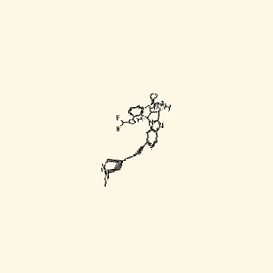 Cn1cc(C#Cc2ccc3nc4n(c3c2)[C@@H]2C[C@H]4NC(=O)c3cccc(OC(F)F)c32)cn1